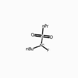 CCCC[N+](F)S(=O)(=O)CCC